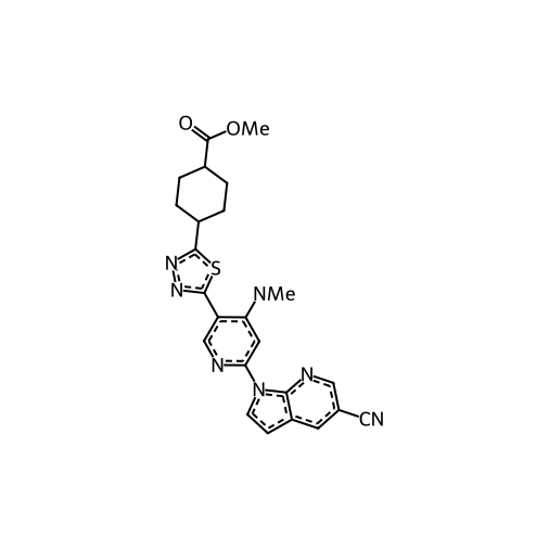 CNc1cc(-n2ccc3cc(C#N)cnc32)ncc1-c1nnc(C2CCC(C(=O)OC)CC2)s1